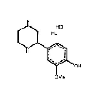 COc1cc(C2CNCCN2)ccc1O.Cl.Cl